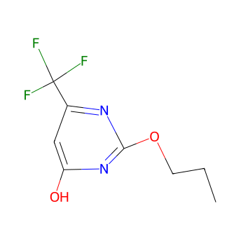 CCCOc1nc(O)cc(C(F)(F)F)n1